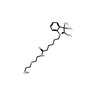 COCCOCCNC(=O)CCCCC[N+]1=C(C)C(C)(C)c2ccccc21